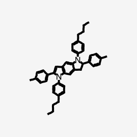 CCCCc1ccc(N2c3cc4cc(-c5ccc(C)cc5)n(-c5ccc(CCCC)cc5)c4cc3CC2c2ccc(C)cc2)cc1